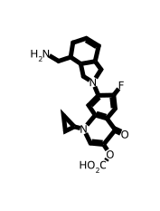 NCC1CC=CC2CN(c3cc4c(cc3F)c(=O)c(OC(=O)O)cn4C3CC3)CC21